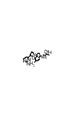 Cc1ccc2c(NCCC(C)O)cccc2c1Oc1ncccc1-c1ccnc(N)n1